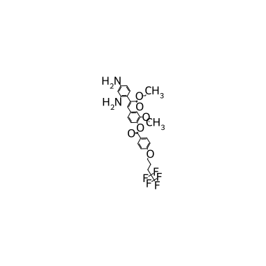 CCOC(=O)C(=Cc1ccc(OC(=O)c2ccc(OCCCC(F)(F)C(F)(F)F)cc2)c(OC)c1)c1ccc(N)cc1N